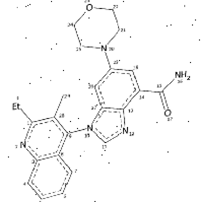 CCc1nc2ccccc2c(-n2cnc3c(C(N)=O)cc(N4CCOCC4)cc32)c1C